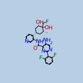 C[C@@H]1C[C@H](c2ccncc2NC(=O)c2nc(-c3c(F)cccc3F)ncc2N)C[C@H](O)[C@]1(O)CF